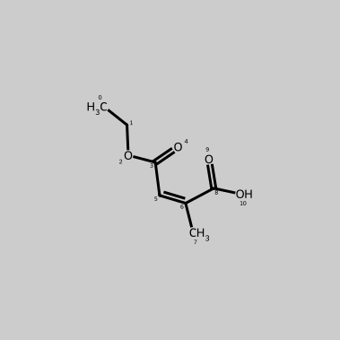 CCOC(=O)C=C(C)C(=O)O